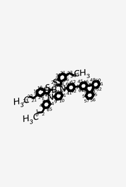 CCCc1ccc(N2c3cccc4c3B(c3sc5ccc(CCC)cc5c32)c2sc3ccc(CCC)cc3c2N4c2ccc(-c3ccc4c5ccccc5c5ccccc5c4c3)cc2)cc1